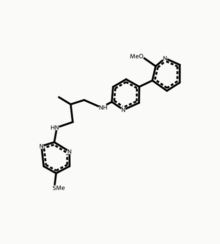 COc1ncccc1-c1ccc(NCC(C)CNc2ncc(SC)cn2)nc1